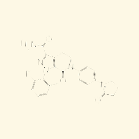 Cc1cccc(F)c1-n1nc(C(N)=O)c2c1C(=O)N(c1ccc(N3CCCC3=O)cc1)CC2